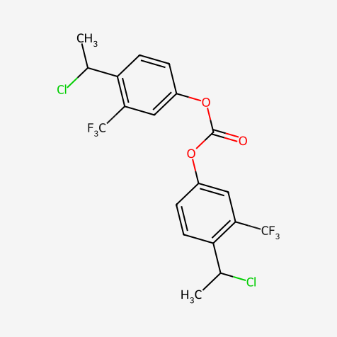 CC(Cl)c1ccc(OC(=O)Oc2ccc(C(C)Cl)c(C(F)(F)F)c2)cc1C(F)(F)F